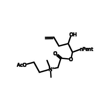 C=CCC(O)C(CCCCC)OC(=O)C[N+](C)(C)CCOC(C)=O